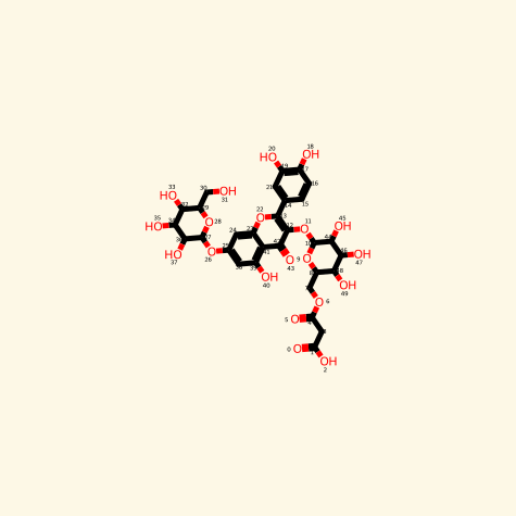 O=C(O)CC(=O)OCC1OC(Oc2c(-c3ccc(O)c(O)c3)oc3cc(OC4OC(CO)C(O)C(O)C4O)cc(O)c3c2=O)C(O)C(O)C1O